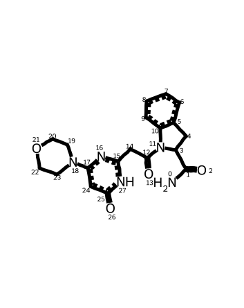 NC(=O)C1Cc2ccccc2N1C(=O)Cc1nc(N2CCOCC2)cc(=O)[nH]1